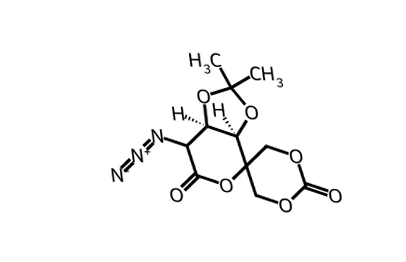 CC1(C)O[C@@H]2C(N=[N+]=[N-])C(=O)OC3(COC(=O)OC3)[C@@H]2O1